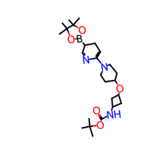 CC(C)(C)OC(=O)NC1CC(OC2CCN(C3=CCC(B4OC(C)(C)C(C)(C)O4)C=N3)CC2)C1